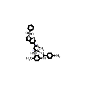 C=N/C(=C\C(=N/C)c1cnc2c(ccn2S(=O)(=O)c2ccccc2)c1)Nc1cc(NC(=O)c2ccc(N)cc2)ccc1C